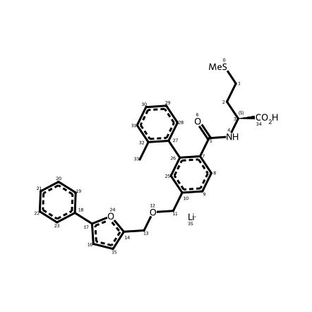 CSCC[C@H](NC(=O)c1ccc(COCc2ccc(-c3ccccc3)o2)cc1-c1ccccc1C)C(=O)O.[Li]